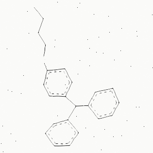 CCCCOc1ccc([C](c2ccccc2)c2ccccc2)cc1